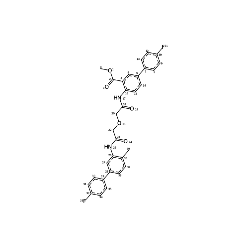 COC(=O)c1cc(-c2ccc(F)cc2)ccc1NC(=O)COCC(=O)Nc1cc(-c2ccc(F)cc2)ccc1C